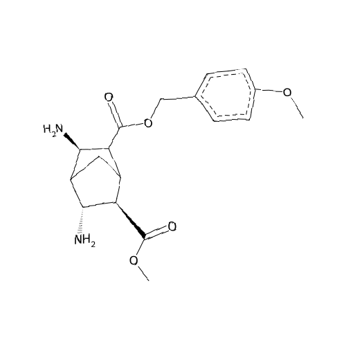 COC(=O)[C@@H]1C2CC([C@@H](N)C2C(=O)OCc2ccc(OC)cc2)[C@H]1N